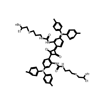 CCCCC(CC)CSCCCNC(=O)NC1=CC(=[N+](c2ccc(C)cc2)c2ccc(C)cc2)C=C/C1=C1\C(=O)C(c2ccc(N(c3ccc(C)cc3)c3ccc(C)cc3)cc2NC(=O)NCCCSCC(CC)CCC)=C1[O-]